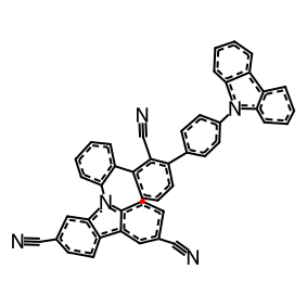 N#Cc1ccc2c(c1)c1ccc(C#N)cc1n2-c1ccccc1-c1cccc(-c2ccc(-n3c4ccccc4c4ccccc43)cc2)c1C#N